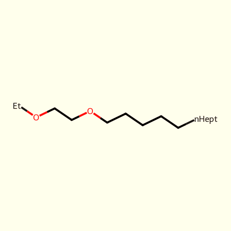 [CH2]CCCCCCCCCCCOCCOCC